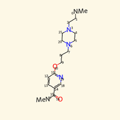 CNCCN1CCN(CCCOc2ccc(C(=O)NC)cn2)CC1